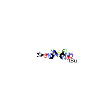 CC(C)(C)OC(=O)Nc1nccc(Sc2cnc3c(ccn3COCC[Si](C)(C)C)n2)c1Cl